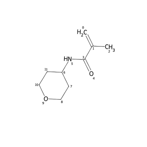 C=C(C)C(=O)NC1CCOCC1